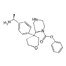 C[C@H](N)c1ccc(C2(C3CNCCN3C(=O)Oc3ccccc3)CCOCC2)cc1